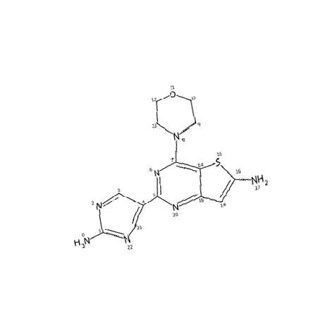 Nc1ncc(-c2nc(N3CCOCC3)c3sc(N)cc3n2)cn1